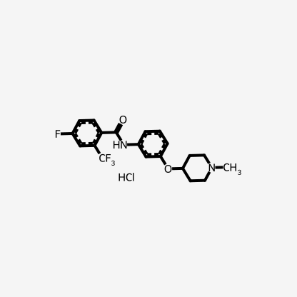 CN1CCC(Oc2cccc(NC(=O)c3ccc(F)cc3C(F)(F)F)c2)CC1.Cl